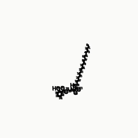 CCC=CCC=CCC=CCC=CCC=CCCCCSC(OC)C(=O)NCCOC(=O)c1ccccc1O